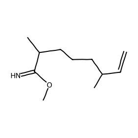 C=CC(C)CCCC(C)C(=N)OC